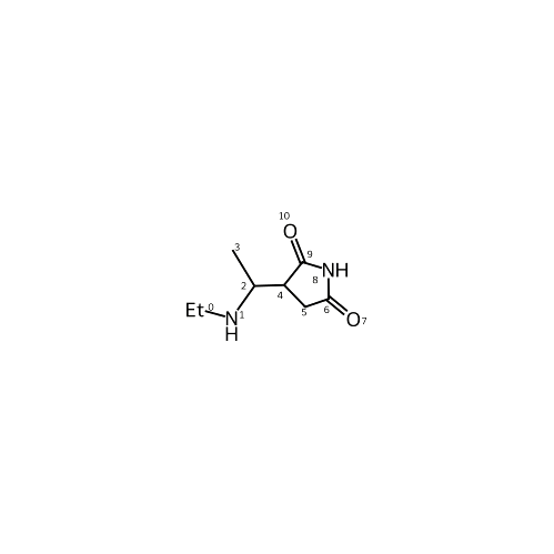 CCNC(C)C1CC(=O)NC1=O